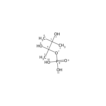 CC(C)(O)C(C)(O)OP(=O)(O)O